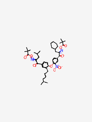 CC(C)CCCCc1cc(C(=O)/C(CC(C)C)=N/OC(=O)C(C)(C)C)ccc1Oc1ccc(C(=O)/C(CC2CCCCC2)=N/OC(=O)C(C)(C)C)cc1[N+](=O)[O-]